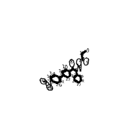 CCC(=O)O/N=C(\C(=O)c1ccc(-c2ccc([N+](=O)[O-])cc2)cc1)c1ccccc1